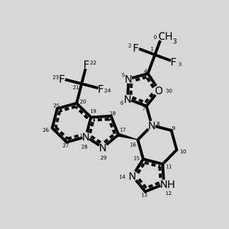 CC(F)(F)c1nnc(N2CCc3[nH]cnc3[C@H]2c2cc3c(C(F)(F)F)cccn3n2)o1